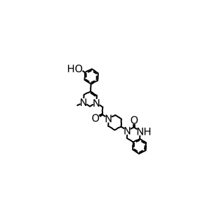 CN1CC(c2cccc(O)c2)=CN(CC(=O)N2CCC(N3Cc4ccccc4NC3=O)CC2)C1